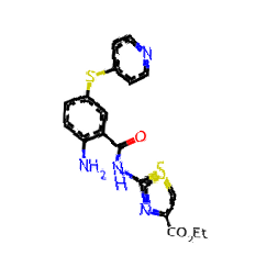 CCOC(=O)c1csc(NC(=O)c2cc(Sc3ccncc3)ccc2N)n1